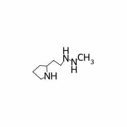 CNNCCC1CCCN1